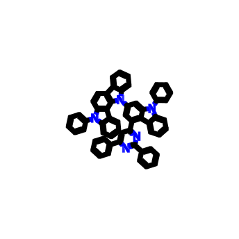 c1ccc(-c2cc(-c3cc(-n4c5ccccc5c5ccc6c(c7ccccc7n6-c6ccccc6)c54)cc4c3c3ccccc3n4-c3ccccc3)nc(-c3ccccc3)n2)cc1